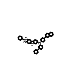 c1ccc(-c2cccc(N(c3ccc(-c4ccc5ccccc5c4)cc3)c3ccc4c(c3)oc3cc5nc(-c6ccccc6)oc5cc34)c2)cc1